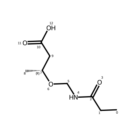 CCC(=O)NCO[C@H](C)CC(=O)O